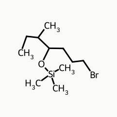 CCC(C)C(CCCBr)O[Si](C)(C)C